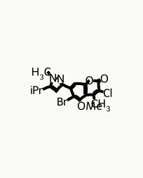 COc1c(Br)c(-c2cc(C(C)C)n(C)n2)cc2oc(=O)c(Cl)c(C)c12